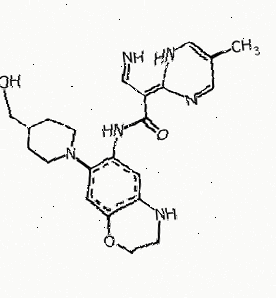 CC1=CN/C(=C(\C=N)C(=O)Nc2cc3c(cc2N2CCC(CO)CC2)OCCN3)N=C1